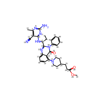 CC[C@H](Nc1nc(N)nc(C)c1C#N)c1nc2cccc(N3CCC(CCC(=O)OC)CC3)c2c(=O)n1-c1ccccc1